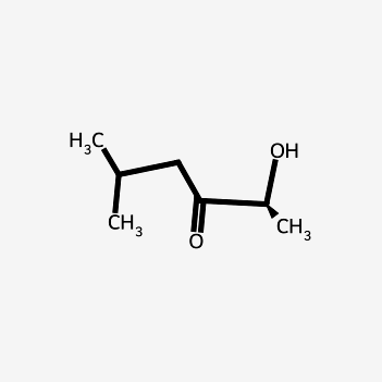 CC(C)CC(=O)[C@H](C)O